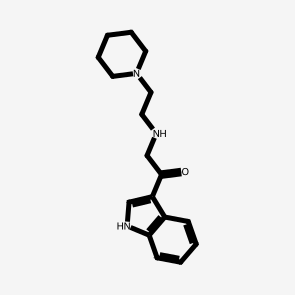 O=C(CNCCN1CCCCC1)c1c[nH]c2[c]cccc12